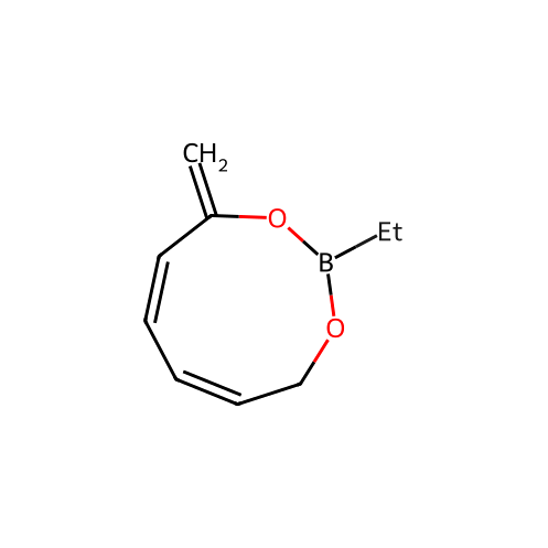 C=C1/C=C\C=C/COB(CC)O1